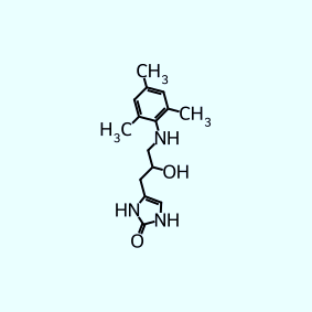 Cc1cc(C)c(NCC(O)Cc2c[nH]c(=O)[nH]2)c(C)c1